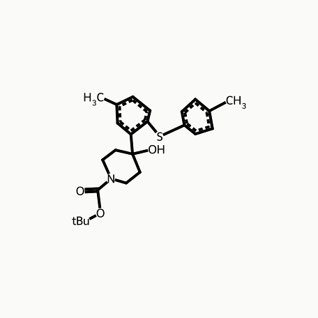 Cc1ccc(Sc2ccc(C)cc2C2(O)CCN(C(=O)OC(C)(C)C)CC2)cc1